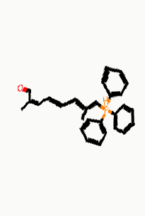 C/C(C=O)=C/C=C/C=C(\C)C[PH](c1ccccc1)(c1ccccc1)c1ccccc1